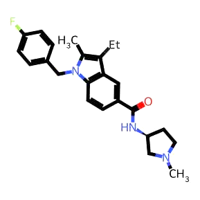 CCc1c(C)n(Cc2ccc(F)cc2)c2ccc(C(=O)N[C@H]3CCN(C)C3)cc12